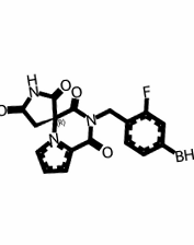 Bc1ccc(CN2C(=O)c3cccn3[C@@]3(CC(=O)NC3=O)C2=O)c(F)c1